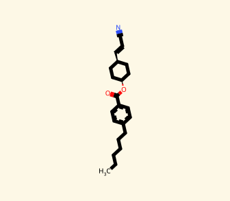 CCCCCCc1ccc(C(=O)O[C@H]2CC[C@H](C=CC#N)CC2)cc1